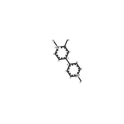 Cc1cc(-c2cc[n+](C)cc2)cc[n+]1C